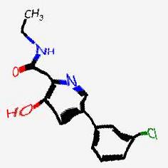 CCNC(=O)c1ncc(-c2cccc(Cl)c2)cc1O